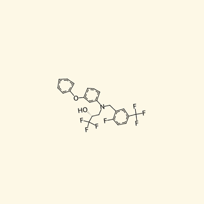 O[C@H](CN(Cc1cc(C(F)(F)F)ccc1F)c1cccc(Oc2ccccc2)c1)C(F)(F)F